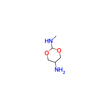 CNC1OCC(N)CO1